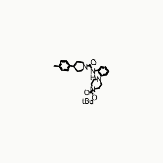 Cc1ccc(C2CCN(C(=O)Nc3ccccc3N3CCN(C(=O)OC(C)(C)C)CC3)CC2)cc1